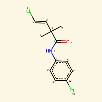 CC(C)(/C=C/Cl)C(=O)Nc1ccc(Cl)cc1